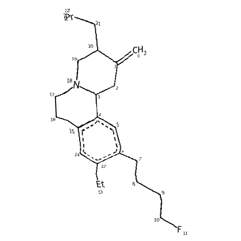 C=C1CC2c3cc(CCCCF)c(CC)cc3CCN2CC1CC(C)C